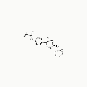 C=C(C)C(=O)Oc1ccc(-c2ccc(OC3CCCCO3)cc2C)cc1